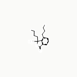 CCCCc1cccc2c1C(N)(CCCC)OC2=O